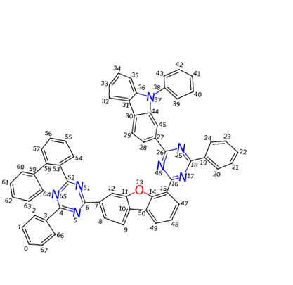 c1ccc(-c2nc(-c3ccc4c(c3)oc3c(-c5nc(-c6ccccc6)nc(-c6ccc7c8ccccc8n(-c8ccccc8)c7c6)n5)cccc34)nc(-c3ccccc3-c3ccccc3)n2)cc1